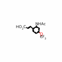 CC(=O)Nc1cc(OC(F)(F)F)ccc1C=CC(=O)O